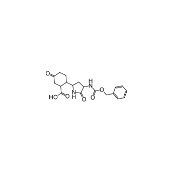 O=C1CCC(C2CC(NC(=O)OCc3ccccc3)C(=O)N2)C(C(=O)O)C1